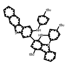 CC(C)(C)c1ccc(Nc2cc3c(cc2-c2cc(C(C)(C)C)c4c5ccccc5n5c4c2Bc2cc(C(C)(C)C)ccc2-5)sc2cc4ccccc4cc23)cc1